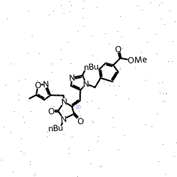 CCCCc1ncc(/C=C2/C(=O)N(CCCC)C(=O)N2Cc2cc(C)on2)n1Cc1ccc(C(=O)OC)cc1